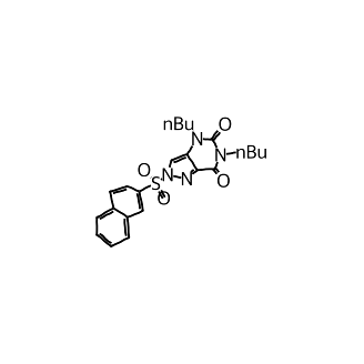 CCCCn1c(=O)c2nn(S(=O)(=O)c3ccc4ccccc4c3)cc2n(CCCC)c1=O